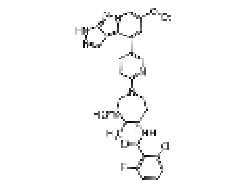 CCOc1cc(-c2ccc(N3CC[C@H](NC(=O)c4c(F)cccc4Cl)C(C)[C@@H](O)C3)nc2)c2c3cn[nH]c3nn2c1